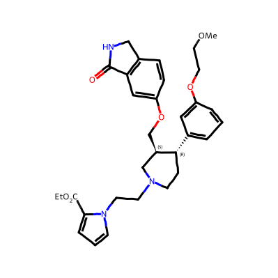 CCOC(=O)c1cccn1CCN1CC[C@@H](c2cccc(OCCOC)c2)[C@H](COc2ccc3c(c2)C(=O)NC3)C1